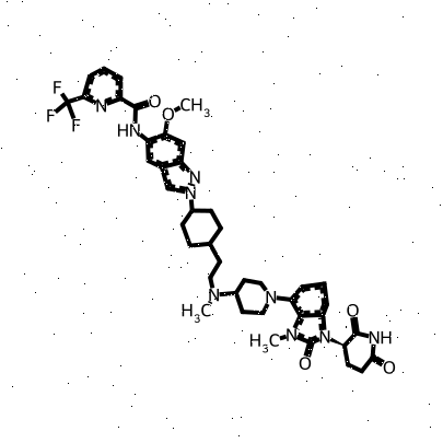 COc1cc2nn(C3CCC(CCN(C)C4CCN(c5cccc6c5n(C)c(=O)n6[C@@H]5CCC(=O)NC5=O)CC4)CC3)cc2cc1NC(=O)c1cccc(C(F)(F)F)n1